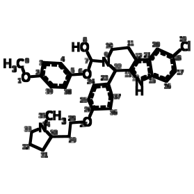 COc1ccc(OC(O)N2CCc3c([nH]c4ccc(Cl)cc34)C2c2ccc(OCCC3CCCN3C)cc2)cc1